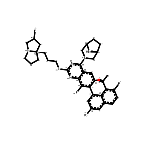 C=C(C)c1c(F)ccc2cc(O)cc(-c3c(C#N)cc4c(N5CC6CCC(C5)N6)nc(OCCC[C@@]56CCCN5CC(F)C6)nc4c3F)c12